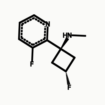 CN[C@]1(c2ncccc2F)C[C@@H](F)C1